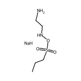 CCCS(=O)(=O)ONCCN.[NaH]